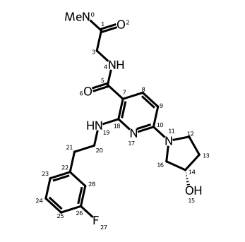 CNC(=O)CNC(=O)c1ccc(N2CC[C@H](O)C2)nc1NCCc1cccc(F)c1